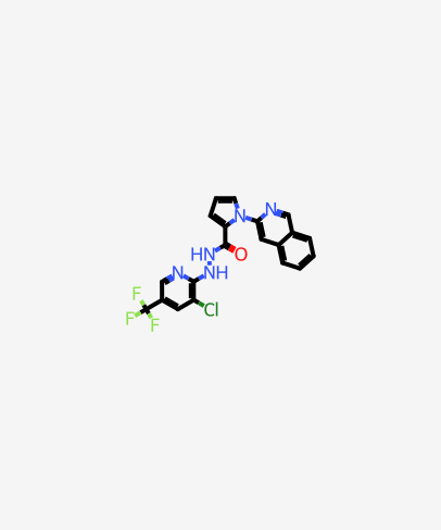 O=C(NNc1ncc(C(F)(F)F)cc1Cl)c1cccn1-c1cc2ccccc2cn1